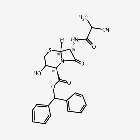 CC(C#N)C(=O)N[C@@H]1C(=O)N2[C@@H]1SCC(O)[C@@H]2C(=O)OC(c1ccccc1)c1ccccc1